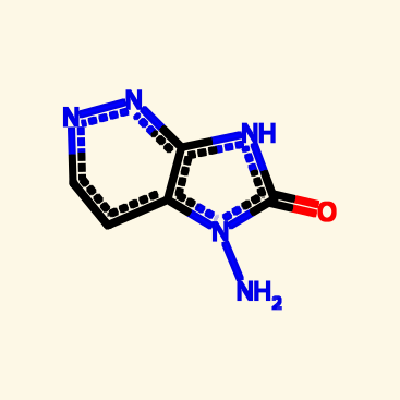 Nn1c(=O)[nH]c2nnccc21